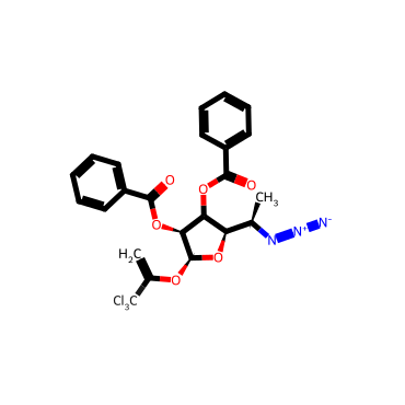 C=C(O[C@@H]1O[C@H]([C@@H](C)N=[N+]=[N-])C(OC(=O)c2ccccc2)[C@@H]1OC(=O)c1ccccc1)C(Cl)(Cl)Cl